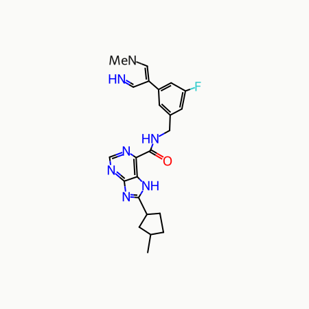 CN/C=C(\C=N)c1cc(F)cc(CNC(=O)c2ncnc3nc(C4CCC(C)C4)[nH]c23)c1